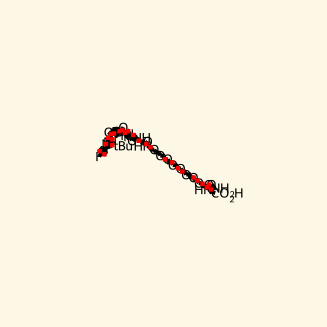 CC(C)(C)c1cc(-c2ccc(F)cc2)nn2cc(C(=O)N3CCN(C(=O)c4cn(CC(=O)NCCCC(=O)NCCOCCOCCOCCOCCOCCOCCOCCOCCC(=O)NC(CC(=O)O)C(N)=O)nn4)CC3(C)C)nc12